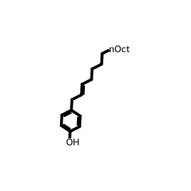 CCCCCCCCCCCCC=CCc1ccc(O)cc1